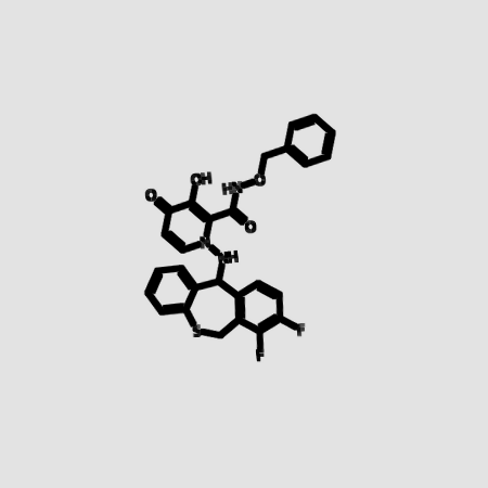 O=C(NOCc1ccccc1)c1c(O)c(=O)ccn1NC1c2ccccc2SCc2c1ccc(F)c2F